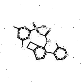 Cc1cc(C)nc(S(N)(=O)=NC(=O)Nc2c(-c3ccncc3F)ccc3c2CC3)n1